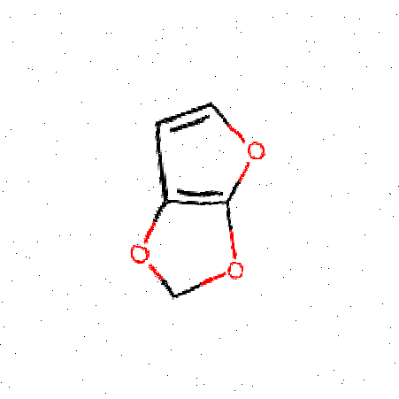 c1cc2c(o1)OCO2